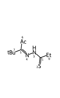 CCC(=S)N/N=C(\C(C)=O)C(C)(C)C